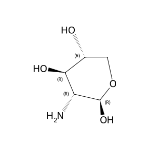 N[C@@H]1[C@@H](O)[C@H](O)CO[C@H]1O